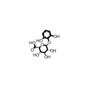 O=C(O)[C@H]1O[C@@H](Oc2c(O)cccc2O)[C@H](O)[C@@H](O)[C@@H]1O